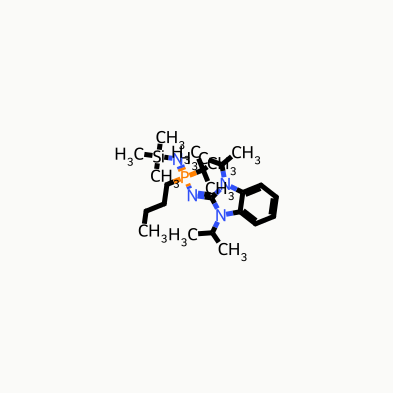 CCCCP(N=c1n(C(C)C)c2ccccc2n1C(C)C)(=N[Si](C)(C)C)C(C)(C)C